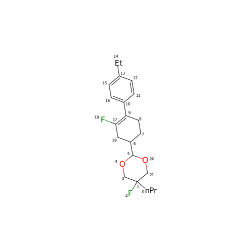 CCCC1(F)COC(C2CCC(c3ccc(CC)cc3)=C(F)C2)OC1